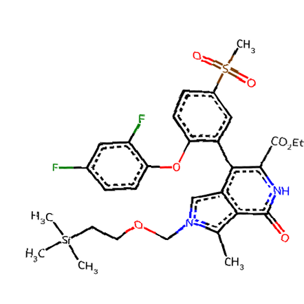 CCOC(=O)c1[nH]c(=O)c2c(C)n(COCC[Si](C)(C)C)cc2c1-c1cc(S(C)(=O)=O)ccc1Oc1ccc(F)cc1F